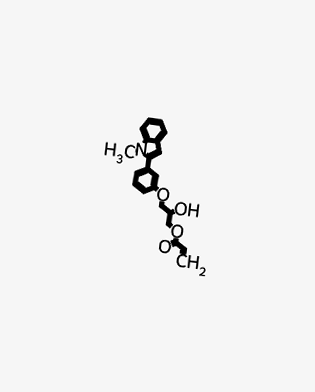 C=CC(=O)OCC(O)COc1cccc(-c2cc3ccccc3n2C)c1